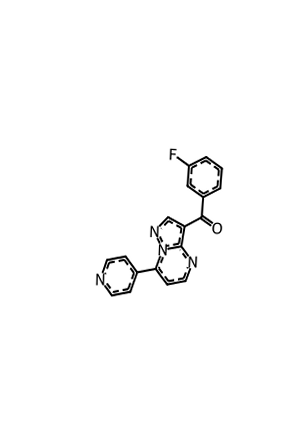 O=C(c1cccc(F)c1)c1cnn2c(-c3ccncc3)ccnc12